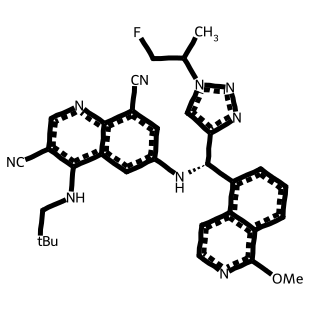 COc1nccc2c([C@H](Nc3cc(C#N)c4ncc(C#N)c(NCC(C)(C)C)c4c3)c3cn(C(C)CF)nn3)cccc12